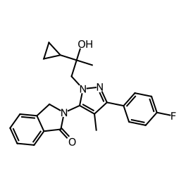 Cc1c(-c2ccc(F)cc2)nn(CC(C)(O)C2CC2)c1N1Cc2ccccc2C1=O